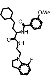 COc1cccc(C(=O)NC(CCC2CCCCC2)C(=O)NCCN2CCc3cccc(F)c32)c1